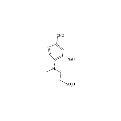 CN(CCS(=O)(=O)O)c1ccc(C=O)cc1.[NaH]